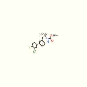 CC(C)(C)OC(=O)NC(Cc1cccc(-c2ccc(F)c(Cl)c2)c1)C(=O)O